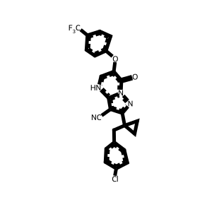 N#Cc1c(C2(Cc3ccc(Cl)cc3)CC2)nn2c(=O)c(Oc3ccc(C(F)(F)F)cc3)c[nH]c12